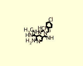 CNC(=N)c1cc(C(=N)N(Cc2ccc(Cl)cc2)C(C)=N)cnc1N